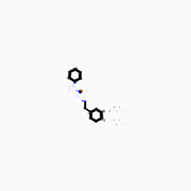 COc1ccc(CCNC(=S)Nc2cc[c]cc2)cc1OC